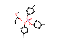 C=CC(=O)OC.Cc1ccc(OP(=O)(Oc2ccc(C)cc2)Oc2ccc(C)cc2)cc1